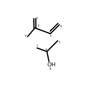 C=CC(=C)C.CC(C)O